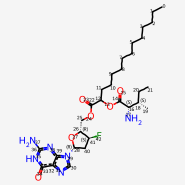 CCCCCCCCCCCCC(OC(=O)[C@@H](N)[C@@H](C)CC)C(=O)OC[C@H]1O[C@@H](n2cnc3c(=O)[nH]c(N)nc32)C[C@@H]1F